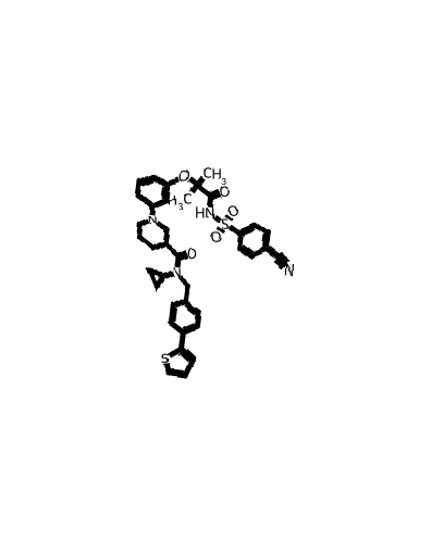 CC(C)(Oc1cccc(N2CCCC(C(=O)N(Cc3ccc(-c4cccs4)cc3)C3CC3)C2)c1)C(=O)NS(=O)(=O)c1ccc(C#N)cc1